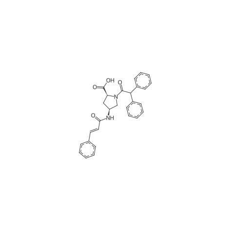 O=C(C=Cc1ccccc1)N[C@H]1C[C@@H](C(=O)O)N(C(=O)C(c2ccccc2)c2ccccc2)C1